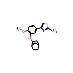 COc1ccc(-c2csc(C)n2)cc1OC1CC2CCC1C2